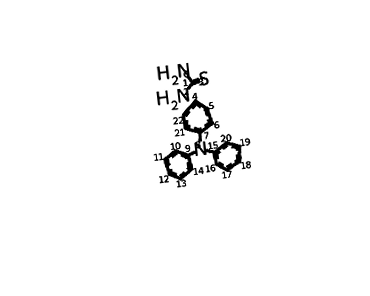 NC(N)=S.c1ccc(N(c2ccccc2)c2ccccc2)cc1